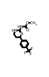 COC(=O)NC1=NC(c2ccc(C(F)(F)F)cc2)CCN1